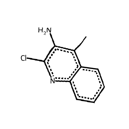 Cc1c(N)c(Cl)nc2ccccc12